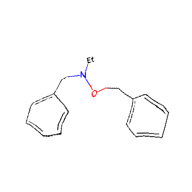 CCN(Cc1ccccc1)OCc1ccccc1